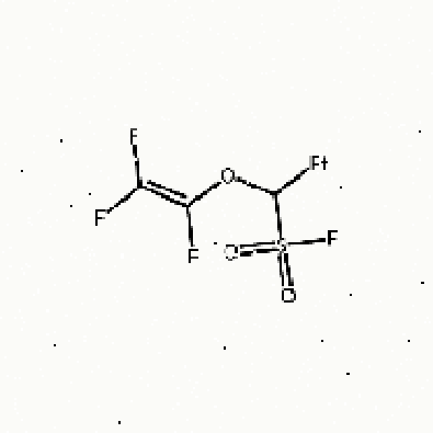 CCC(OC(F)=C(F)F)S(=O)(=O)F